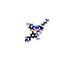 CC(=O)c1nn(CC(=O)N2[C@H](C(=O)Nc3nc(Br)ccc3C)C[C@@]3(CCCCN(C)C)C[C@@H]23)c2c(CF)cc(-c3cnc(C)nc3)cc12